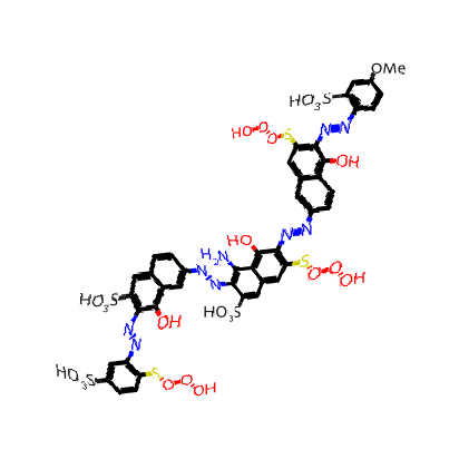 COc1ccc(N=Nc2c(SOOO)cc3cc(N=Nc4c(SOOO)cc5cc(S(=O)(=O)O)c(N=Nc6ccc7cc(S(=O)(=O)O)c(N=Nc8cc(S(=O)(=O)O)ccc8SOOO)c(O)c7c6)c(N)c5c4O)ccc3c2O)c(S(=O)(=O)O)c1